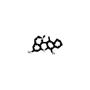 Cc1c2c(c(C(C)C)c3ccccc13)Oc1cc(C#N)cc3cc[n+](C)c-2c13